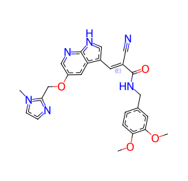 COc1ccc(CNC(=O)/C(C#N)=C/c2c[nH]c3ncc(OCc4nccn4C)cc23)cc1OC